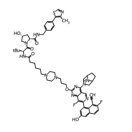 C#Cc1c(F)ccc2cc(O)cc(-c3ncc4c(N5CC6CCC(C5)N6)nc(OCCCN5CCN(CCCCCC(=O)N[C@H](C(=O)N6C[C@H](O)C[C@H]6C(=O)NCc6ccc(-c7scnc7C)cc6)C(C)(C)C)CC5)nc4c3F)c12